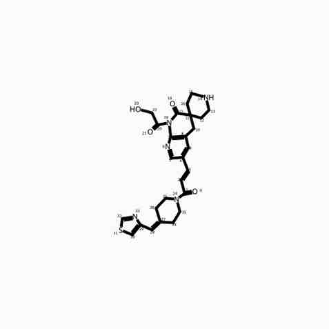 O=C(/C=C/c1cnc2c(c1)CC1(CCNCC1)C(=O)N2C(=O)CO)N1CCC(=Cc2cscn2)CC1